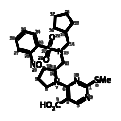 CSc1ncc(C(=O)O)c(N2CCC[C@H]2CN(CC2CCCC2)S(=O)(=O)c2ccccc2[N+](=O)[O-])n1